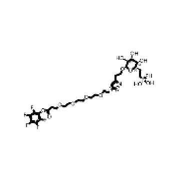 O=C(CCOCCOCCOCCOCCn1cc(CCO[C@H]2O[C@H](CCP(O)(O)=P)[C@@H](O)[C@H](O)[C@@H]2O)nn1)Oc1c(F)c(F)c(F)c(F)c1F